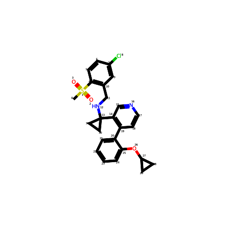 CS(=O)(=O)c1ccc(Cl)cc1CNC1(c2cnccc2-c2ccccc2OC2CC2)CC1